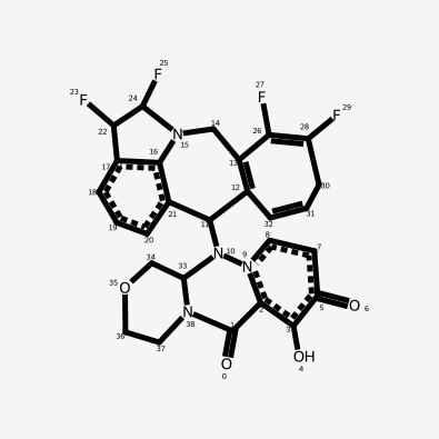 O=C1c2c(O)c(=O)ccn2N(C2C3=C(CN4c5c(cccc52)C(F)C4F)C(F)=C(F)CC=C3)C2COCCN12